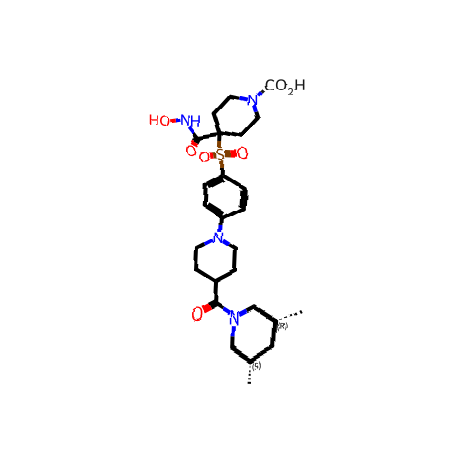 C[C@@H]1C[C@H](C)CN(C(=O)C2CCN(c3ccc(S(=O)(=O)C4(C(=O)NO)CCN(C(=O)O)CC4)cc3)CC2)C1